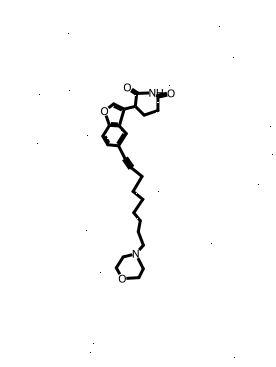 O=C1CCC(c2coc3ccc(C#CCCCCCCCN4CCOCC4)cc23)C(=O)N1